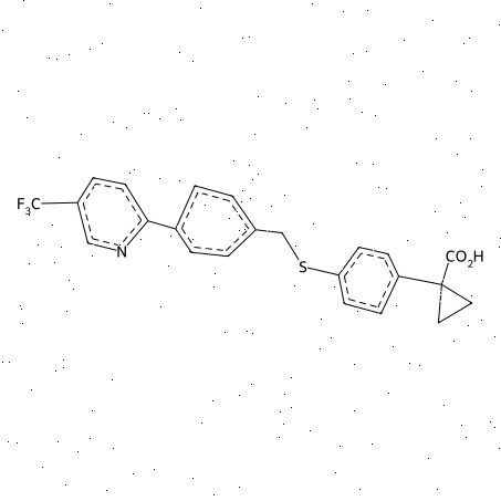 O=C(O)C1(c2ccc(SCc3ccc(-c4ccc(C(F)(F)F)cn4)cc3)cc2)CC1